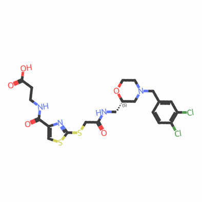 O=C(O)CCNC(=O)c1csc(SCC(=O)NC[C@H]2CN(Cc3ccc(Cl)c(Cl)c3)CCO2)n1